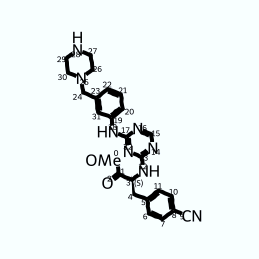 COC(=O)[C@H](Cc1ccc(C#N)cc1)Nc1ncnc(Nc2cccc(CN3CCNCC3)c2)n1